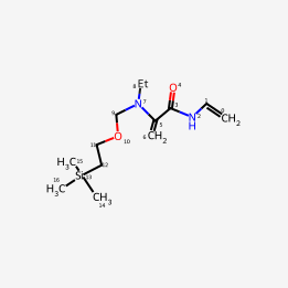 C=CNC(=O)C(=C)N(CC)COCC[Si](C)(C)C